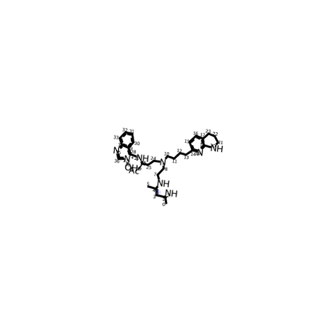 CC(=N)/C=C(/C)NCCN(CCCCc1ccc2c(n1)NCCC2)CC[C@H](Nc1c2ccccc2nc[n+]1O)C(C)=O